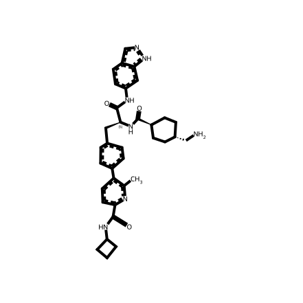 Cc1nc(C(=O)NC2CCC2)ccc1-c1ccc(C[C@H](NC(=O)[C@H]2CC[C@H](CN)CC2)C(=O)Nc2ccc3cn[nH]c3c2)cc1